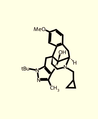 COc1ccc2c(c1)[C@]13CCN(CC4CC4)[C@H](C2)[C@]1(O)Cc1c(C)nn(C(C)(C)C)c1C3